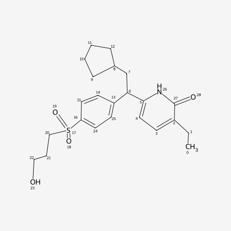 CCc1ccc(C(CC2CCCC2)c2ccc(S(=O)(=O)CCCO)cc2)[nH]c1=O